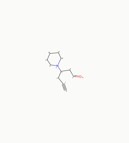 [C]#CCC(CC=O)N1CCCCC1